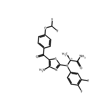 C[C@@H](C(N)=O)N(c1ccc(F)c(F)c1)c1nc(N)c(C(=O)c2ccc(OC(F)F)cc2)s1